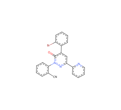 N#Cc1ccccc1-n1nc(-c2ccccn2)cc(-c2ccccc2Br)c1=O